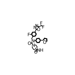 N=S1(=O)CCN(C(=O)N(Cc2ccc(-c3nnc(C(F)F)o3)cc2F)c2ccc(-c3ccco3)cc2)CC1